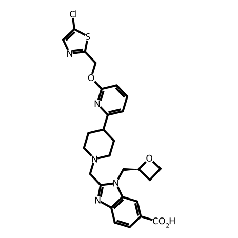 O=C(O)c1ccc2nc(CN3CCC(c4cccc(OCc5ncc(Cl)s5)n4)CC3)n(C[C@@H]3CCO3)c2c1